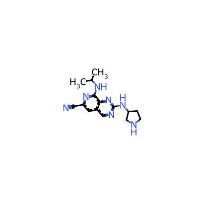 CC(C)Nc1nc(C#N)cc2cnc(NC3CCNC3)nc12